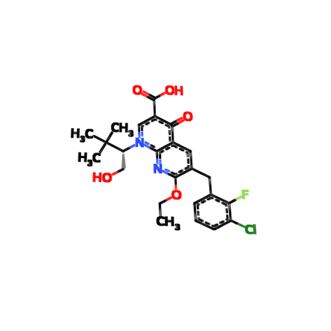 CCOc1nc2c(cc1Cc1cccc(Cl)c1F)c(=O)c(C(=O)O)cn2[C@H](CO)C(C)(C)C